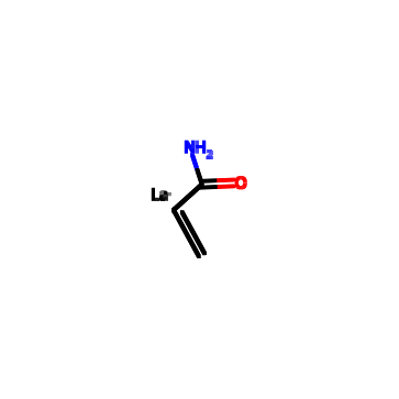 C=CC(N)=O.[La]